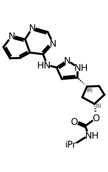 CC(C)NC(=O)O[C@H]1CC[C@@H](c2cc(Nc3ncnc4ncccc34)n[nH]2)C1